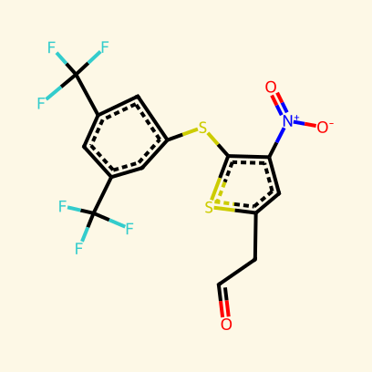 O=CCc1cc([N+](=O)[O-])c(Sc2cc(C(F)(F)F)cc(C(F)(F)F)c2)s1